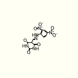 O=C1NC(=O)C(/C=N/Nc2ccc([N+](=O)[O-])cc2[N+](=O)[O-])C(=O)N1